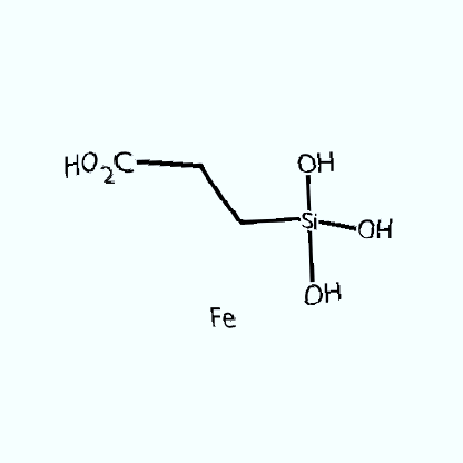 O=C(O)CC[Si](O)(O)O.[Fe]